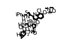 CC(C)Nc1nc(-c2cc(O[C@@H]3C[C@@H](C(N)=O)N(C(=O)[C@@H](NC(=O)O[C@@H]4CC5C[C@@H]5C4)C(C)(C)C)C3)c3ccc(OC[C@H]4COCCN4C)c(Cl)c3n2)cs1